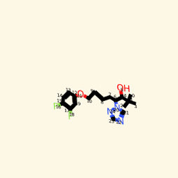 CC(C)(C)C(O)C(CC=CCOc1ccc(F)c(F)c1)n1cncn1